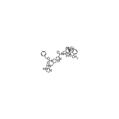 Cc1cccc(C)c1S(=O)(=O)NC(CNC(=O)C1=NO[C@]2(C1)CC(CNC1=NCCN1)N(C(=O)OCc1ccccc1)C2)C(=O)O